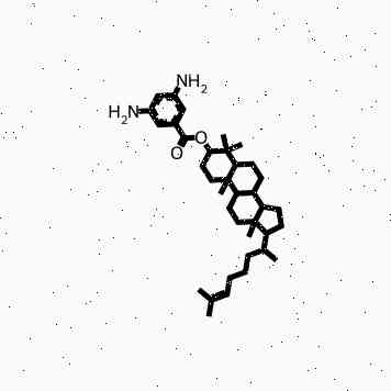 CC(C)=CCCCC(C)C1CCC2C3CCC4C(C)(C)C(OC(=O)c5cc(N)cc(N)c5)CCC4(C)C3CCC12C